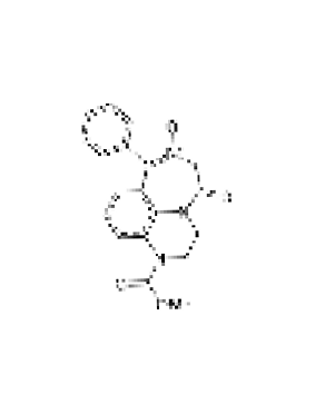 COC(=O)N1CCN2C(=O)C[N+]([O-])=C(c3ccccc3)c3cccc1c32